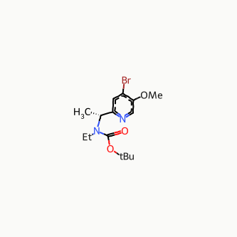 CCN(C(=O)OC(C)(C)C)[C@H](C)c1cc(Br)c(OC)cn1